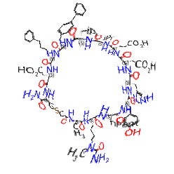 CCCCC[C@@H]1NC(=O)[C@H](CCCCN(C)C(N)=O)NC(=O)[C@H](C)NC(=O)CSC[C@@H](C(N)=O)NC(=O)[C@H](CC(=O)O)NC(=O)[C@H](CCCCc2ccccc2)NC(=O)[C@H](Cc2ccc(-c3ccccc3)cc2)NC(=O)[C@H](CC(C)C)NC(=O)[C@H](C(C)C)NC(=O)[C@H](CCC(=O)O)NC(=O)[C@H](CC(=O)O)NC(=O)[C@H](Cc2c[nH]cn2)NC(=O)[C@H](Cc2ccc(O)cc2)NC1=O